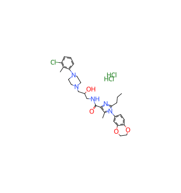 CCCc1nc(C(=O)NCC(O)CN2CCN(c3cccc(Cl)c3C)CC2)c(C)n1-c1ccc2c(c1)OCCO2.Cl.Cl